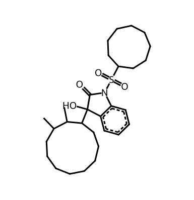 CC1CCCCCCCCC(C2(O)C(=O)N(S(=O)(=O)C3CCCCCCCC3)c3ccccc32)C1C